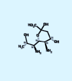 C[C@H](O)[C@H](N)[C@@H]1OC(O)(C(=O)O)C[C@H](O)[C@H]1N